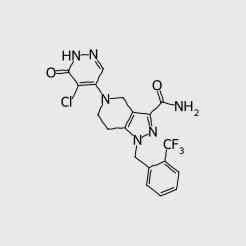 NC(=O)c1nn(Cc2ccccc2C(F)(F)F)c2c1CN(c1cn[nH]c(=O)c1Cl)CC2